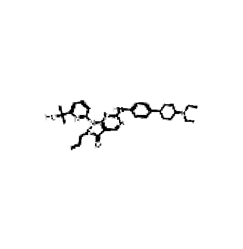 C=CCn1c(=O)c2cnc(Nc3ccc(C4CCC(N(CC)CC)CC4)cc3)nc2n1-c1cccc(C(C)(C)O)n1